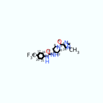 Cn1cnc(C(=O)N2CCC(NC(=O)Nc3ccc(C(F)(F)F)cc3)CC2)c1